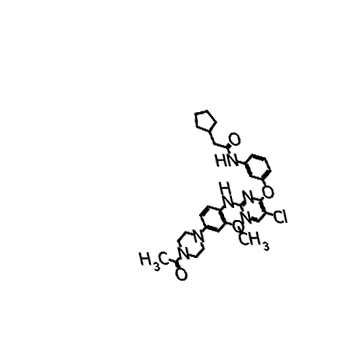 COc1cc(N2CCN(C(C)=O)CC2)ccc1Nc1ncc(Cl)c(Oc2cccc(NC(=O)CC3CCCC3)c2)n1